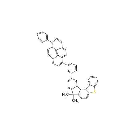 CC1(C)c2ccc(-c3cccc(-c4ccc5ccc6c(-c7ccccc7)ccc7ccc4c5c76)c3)cc2-c2c1ccc1sc3ccccc3c21